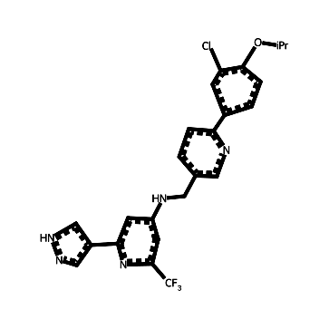 CC(C)Oc1ccc(-c2ccc(CNc3cc(-c4cn[nH]c4)nc(C(F)(F)F)c3)cn2)cc1Cl